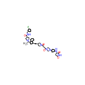 CC(c1ccc(C#CC2CCN(C(=O)CCC(=O)N3CCN(c4ccc(NC5CCC(=O)NC5=O)cc4)CC3)CC2)c2ccccc12)N1CCC(C(=O)NCc2cccc(F)c2)CC1